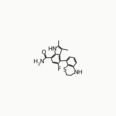 Cc1[nH]c2c(C(N)=O)cc(F)c(-c3cccc4c3SCCN4)c2c1C